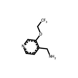 NCc1ccncc1OCC(F)(F)F